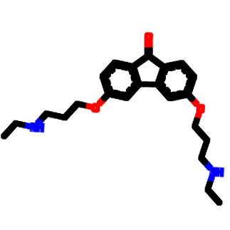 CCNCCCOc1ccc2c(c1)-c1cc(OCCCNCC)ccc1C2=O